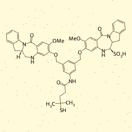 COc1cc2c(cc1OCc1cc(COc3cc4c(cc3OC)C(=O)N3c5ccccc5C[C@H]3CN4)cc(NC(=O)CCC(C)(C)S)c1)N[C@H](S(=O)(=O)O)C1Cc3ccccc3N1C2=O